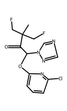 CC(CF)(CF)C(=O)C(Oc1cccc(Cl)n1)n1cncn1